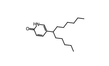 CCCCCCC(CCCCC)c1ccc(=O)[nH]c1